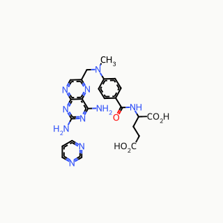 CN(Cc1cnc2nc(N)nc(N)c2n1)c1ccc(C(=O)NC(CCC(=O)O)C(=O)O)cc1.c1cncnc1